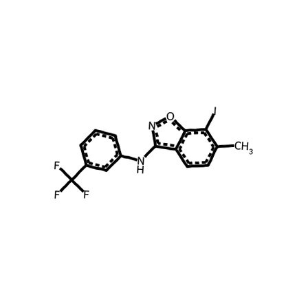 Cc1ccc2c(Nc3cccc(C(F)(F)F)c3)noc2c1I